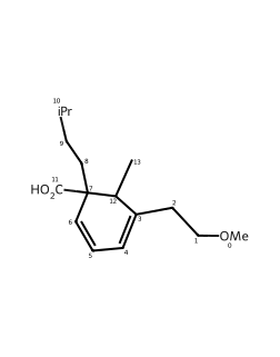 COCCC1=CC=CC(CCC(C)C)(C(=O)O)C1C